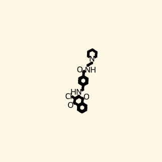 O=C(NCCN1CCCCC1)c1ccc(CNC2=C(Cl)C(=O)c3ccccc3C2=O)cc1